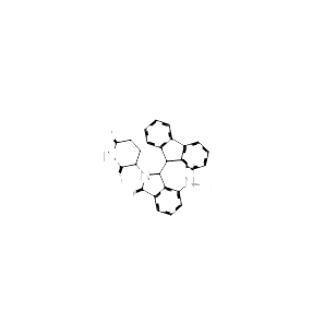 O=C(O)Nc1cccc2c1C(C1c3ccccc3-c3ccccc31)N(C1CCC(=O)NC1=O)C2=O